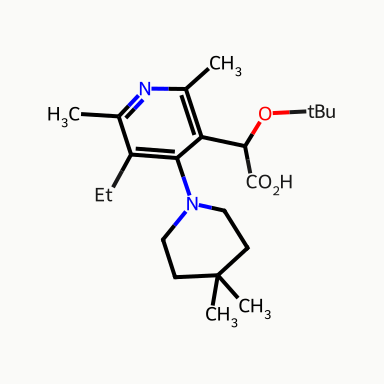 CCc1c(C)nc(C)c(C(OC(C)(C)C)C(=O)O)c1N1CCC(C)(C)CC1